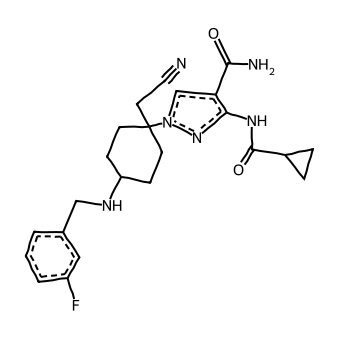 N#CCC1(n2cc(C(N)=O)c(NC(=O)C3CC3)n2)CCC(NCc2cccc(F)c2)CC1